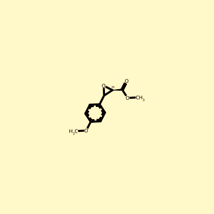 COC(=O)[C@@H]1OC1c1ccc(OC)cc1